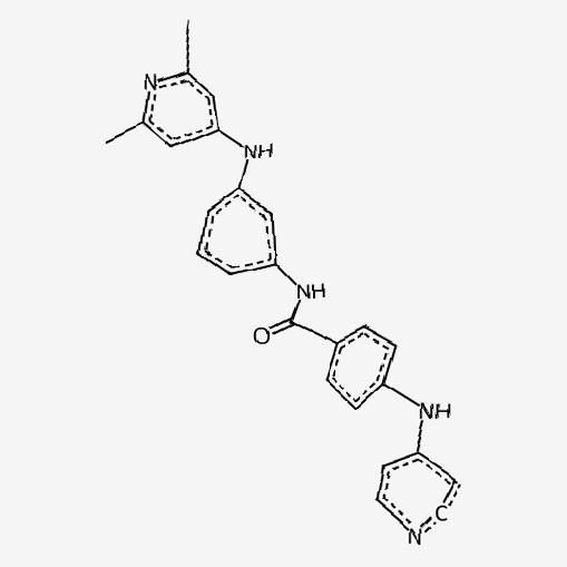 Cc1cc(Nc2cccc(NC(=O)c3ccc(Nc4ccncc4)cc3)c2)cc(C)n1